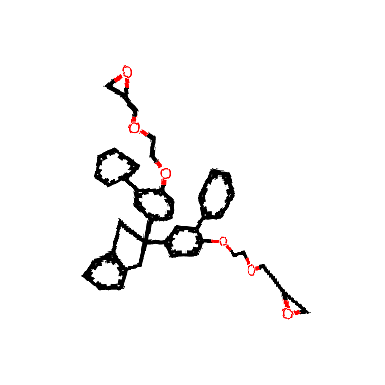 c1ccc(-c2cc(C3(c4ccc(OCCOCC5CO5)c(-c5ccccc5)c4)Cc4ccccc4C3)ccc2OCCOCC2CO2)cc1